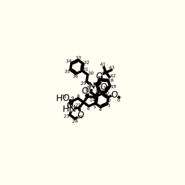 COc1ccc(CC(CC(=O)O)(C(=O)Cc2ccccc2)C2NCCO2)c(CN(CCc2ccccc2)C(=O)OC(C)(C)C)c1